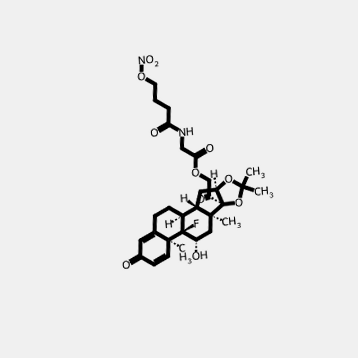 CC1(C)O[C@@H]2C[C@H]3[C@@H]4CCC5=CC(=O)C=C[C@]5(C)[C@@]4(F)[C@@H](O)C[C@]3(C)[C@]2(C(=O)COC(=O)CNC(=O)CCCO[N+](=O)[O-])O1